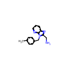 Cc1ccc(Cn2c(CN)nc3cccnc32)cc1